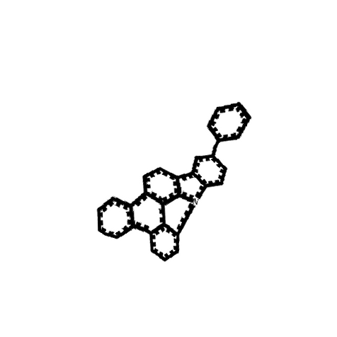 c1ccc(-c2ccc3c(c2)c2ccc4c5ccccc5c5cccc6c5c4c2n36)cc1